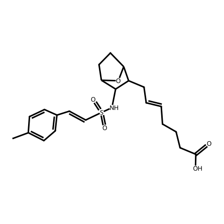 Cc1ccc(C=CS(=O)(=O)NC2C3CCC(O3)C2CC=CCCCC(=O)O)cc1